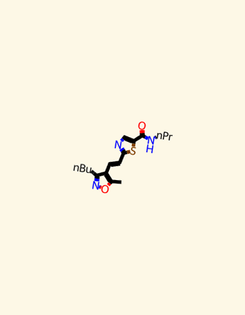 CCCCc1noc(C)c1C=Cc1ncc(C(=O)NCCC)s1